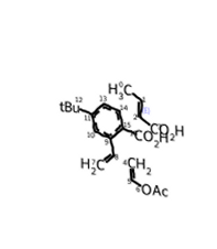 C/C=C/C(=O)O.C=COC(C)=O.C=Cc1cc(C(C)(C)C)ccc1C(=O)O